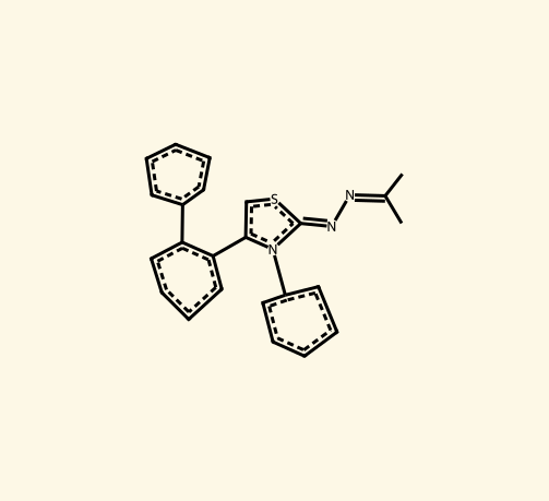 CC(C)=NN=c1scc(-c2ccccc2-c2ccccc2)n1-c1ccccc1